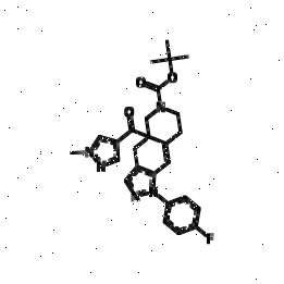 Cn1cc(C(=O)C23Cc4cnn(-c5ccc(F)cc5)c4C=C2CCN(C(=O)OC(C)(C)C)C3)cn1